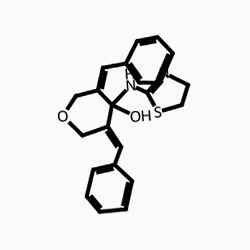 OC1(NC2=NCCS2)/C(=C\c2ccccc2)COC/C1=C\c1ccccc1